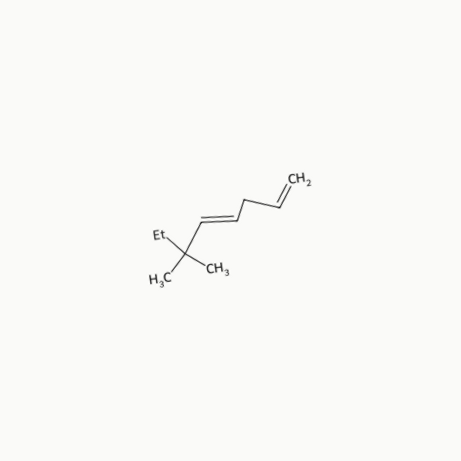 C=CCC=CC(C)(C)CC